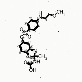 COCCNc1ccc(S(=O)(=O)Oc2ccc3c(c2)=NC(C)(NC(=O)O)N=3)cc1